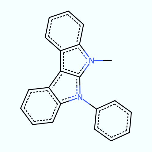 Cn1c2ccccc2c2c3ccccc3n(-c3ccccc3)c21